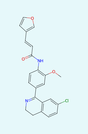 COc1cc(C2=NCCc3ccc(Cl)cc32)ccc1NC(=O)C=Cc1ccoc1